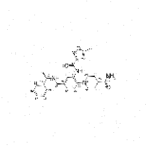 Cc1cc(C(=O)Nc2cc(CN[C@H](C)c3ccccc3)ccc2N2CCC(C(N)=O)CC2)no1